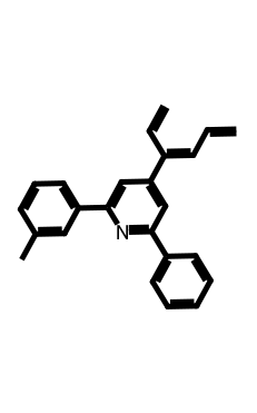 C=C/C=C(\C=C)c1cc(-c2ccccc2)nc(-c2cccc(C)c2)c1